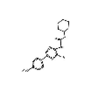 CCCc1nc(-c2ccc(OC)cc2)cnc1NC(=O)CC1CCCCC1